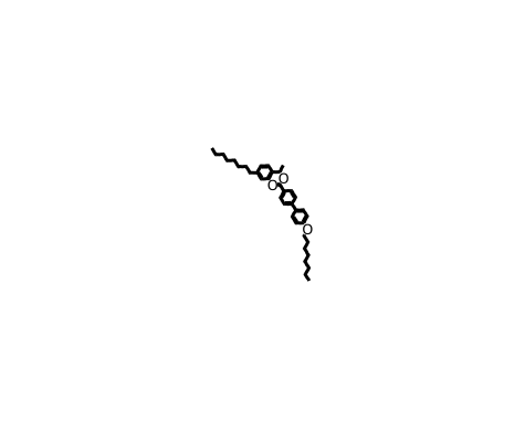 CCCCCCCCOc1ccc(-c2ccc(C(=O)OC(C)c3ccc(CCCCCCCC)cc3)cc2)cc1